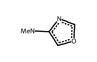 CNc1cocn1